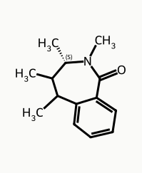 CC1c2ccccc2C(=O)N(C)[C@@H](C)C1C